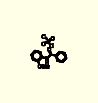 COc1ccccc1NC(=O)c1ccccc1.O=S(=O)(Cl)Cl